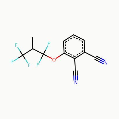 CC(C(F)(F)F)C(F)(F)Oc1cccc(C#N)c1C#N